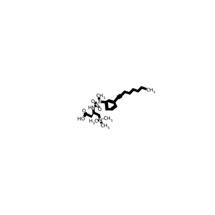 CCCCCCC#Cc1cccc(N(C)S(=O)(=O)N[C@H](CC(=O)O)C[N+](C)(C)C)c1